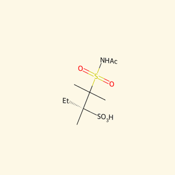 CC[C@](C)(C(C)(C)S(=O)(=O)NC(C)=O)S(=O)(=O)O